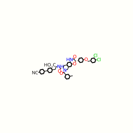 Cc1cccc(C(=O)N2Cc3cc4c(cc3C[C@H]2C(=O)NC(Cc2ccc(-c3ccc(C#N)cc3)cc2)C(=O)O)NC(=O)[C@H](c2ccc(OCc3ccc(Cl)c(Cl)c3)cc2)O4)c1